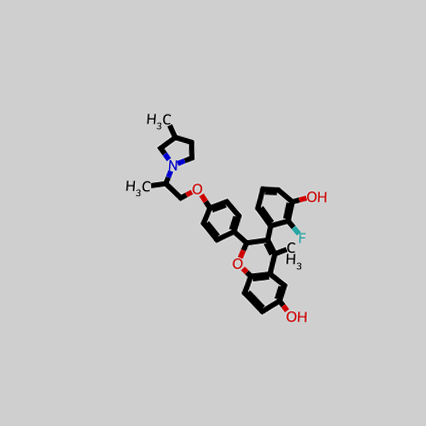 CC1=C(c2cccc(O)c2F)C(c2ccc(OCC(C)N3CCC(C)C3)cc2)Oc2ccc(O)cc21